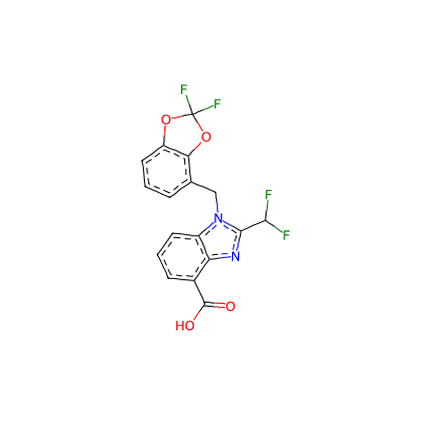 O=C(O)c1cccc2c1nc(C(F)F)n2Cc1cccc2c1OC(F)(F)O2